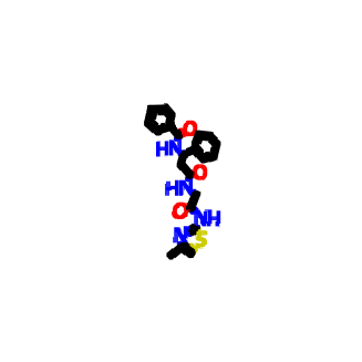 Cc1csc(NC(=O)CNC(=O)CC(NC(=O)c2ccccc2)c2ccccc2)n1